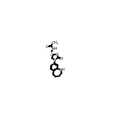 CC(=O)NC[C@H]1CN(c2ccc3c(c2)NCCCC3)C(=O)O1